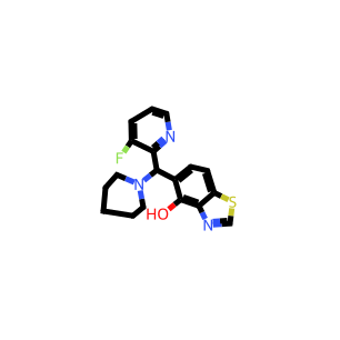 Oc1c(C(c2ncccc2F)N2CCCCC2)ccc2scnc12